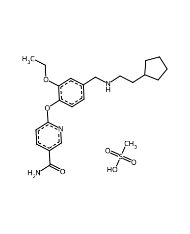 CCOc1cc(CNCCC2CCCC2)ccc1Oc1ccc(C(N)=O)cn1.CS(=O)(=O)O